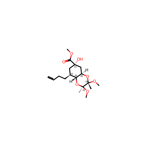 C=CCC[C@H]1C[C@@](O)(C(=O)OC)C[C@H]2O[C@](C)(OC)[C@@](C)(OC)O[C@H]12